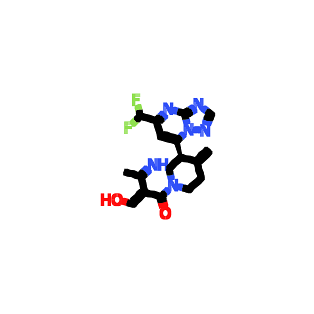 C=C1CCN(C(=O)/C(=C/O)C(C)=N)C[C@H]1c1cc(C(F)F)nc2ncnn12